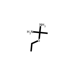 CCSC(C)(N)N